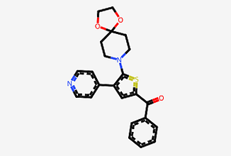 O=C(c1ccccc1)c1cc(-c2ccncc2)c(N2CCC3(CC2)OCCO3)s1